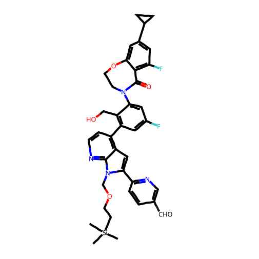 C[Si](C)(C)CCOCn1c(-c2ccc(C=O)cn2)cc2c(-c3cc(F)cc(N4CCOc5cc(C6CC6)cc(F)c5C4=O)c3CO)ccnc21